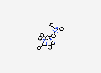 c1ccc(-c2cc(-c3ccccc3)nc(N3c4cc5c(cc4-c4cccc6cccc3c46)c3cc(-c4nc(-c6ccccc6)nc(-c6ccccc6)n4)ccc3n5-c3ccccn3)c2)cc1